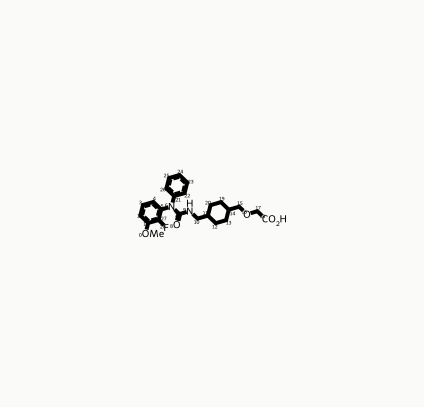 COc1cccc(N(C(=O)NCC2CCC(COCC(=O)O)CC2)c2ccccc2)c1F